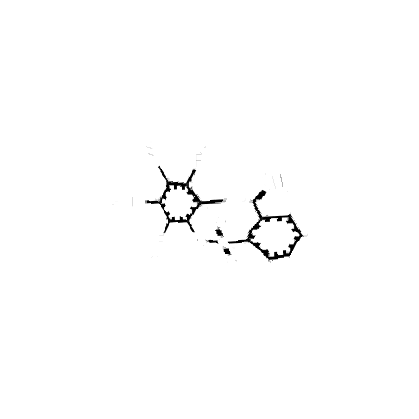 C=Cc1ccccc1S(=O)(=O)Oc1c(F)c(F)c(F)c(F)c1F